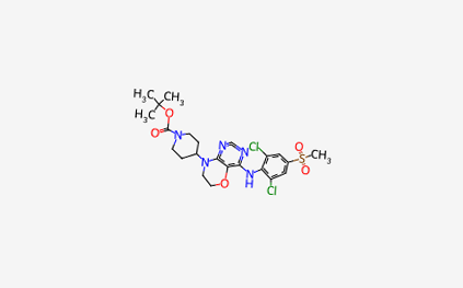 CC(C)(C)OC(=O)N1CCC(N2CCOc3c(Nc4c(Cl)cc(S(C)(=O)=O)cc4Cl)ncnc32)CC1